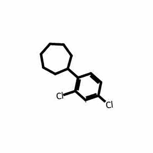 Clc1[c]c(Cl)c(C2CCCCCC2)cc1